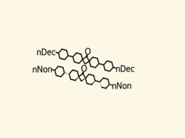 CCCCCCCCCC1CCC([C@H]2CC[C@]3(CC2)C[C@@]2(CC[C@H]([C@H]4CC[C@H](CCCCCCCCC)CC4)CC2)C3=O)CC1.CCCCCCCCCCC1CCC(C2CCC3(CC2)CC2(CCC(C4CCC(CCCCCCCCCC)CC4)CC2)C3=O)CC1